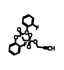 C#CCOS(=O)(=O)CP(=O)(Oc1ccccc1F)Oc1ccccc1F